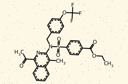 CCOC(=O)c1ccc(S(=O)(=O)N(Cc2ccc(OC(F)(F)F)cc2)c2nc(C(C)=O)c3ccccc3c2C)cc1